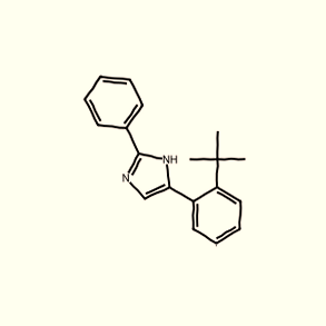 CC(C)(C)c1cc[c]cc1-c1cnc(-c2ccccc2)[nH]1